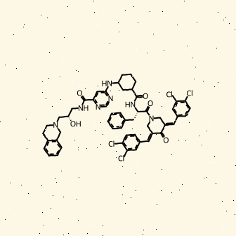 O=C1/C(=C/c2ccc(Cl)c(Cl)c2)CN(C(=O)[C@H](Cc2ccccc2)NC(=O)C2CCCC(Nc3cc(C(=O)NC[C@H](O)CN4CCc5ccccc5C4)ncn3)C2)C/C1=C\c1ccc(Cl)c(Cl)c1